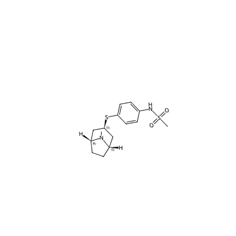 CN1[C@@H]2CC[C@H]1C[C@H](Sc1ccc(NS(C)(=O)=O)cc1)C2